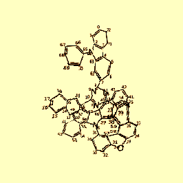 C1=Cc2c(c3ccc(-c4nc(-c5ccc6ccccc6c5)nc(-c5ccc6ccc7oc8cccc(-n9c%10cc%11ccccc%11cc%10c%10ccc%11ccccc%11c%109)c8c7c6c5)n4)cc3n2-c2ccccc2)CC1